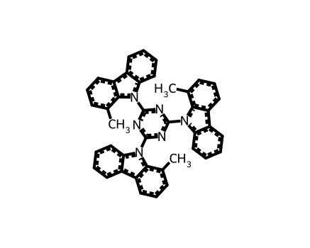 Cc1cccc2c3ccccc3n(-c3nc(-n4c5ccccc5c5cccc(C)c54)nc(-n4c5ccccc5c5cccc(C)c54)n3)c12